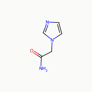 NC(=O)Cn1c[c]nc1